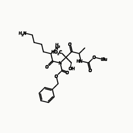 CC(NC(=O)OC(C)(C)C)C(=O)C(CO)(C(=O)O)N(C(=O)OCc1ccccc1)C(=O)C(N)CCCCN